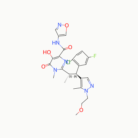 COCCn1ncc([C@H](c2cc(F)ccc2Cl)[C@H](C)c2nc(C(=O)Nc3cnoc3)c(O)c(=O)n2C)c1C